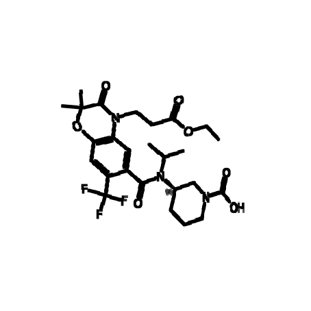 CCOC(=O)CCN1C(=O)C(C)(C)Oc2cc(C(F)(F)F)c(C(=O)N(C(C)C)[C@@H]3CCCN(C(=O)O)C3)cc21